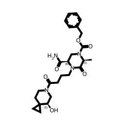 C[C@H]1C(=O)N(CCCC(=O)N2CCC3(CC3)[C@H](O)C2)[C@@H](C(N)=O)CN1C(=O)OCc1ccccc1